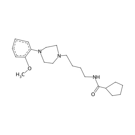 COc1ccccc1N1CCN(CCCCNC(=O)C2CCCC2)CC1